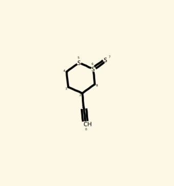 C#CC1CCSS(=S)C1